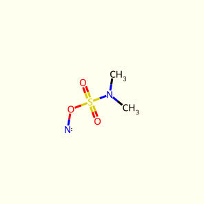 CN(C)S(=O)(=O)O[N]